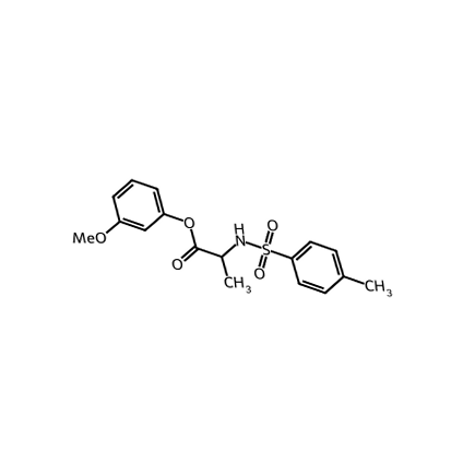 COc1cccc(OC(=O)C(C)NS(=O)(=O)c2ccc(C)cc2)c1